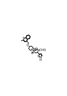 Cc1cc(COC2CCN(S(=O)(=O)CC(c3cc[nH]n3)N(O)C=O)CC2)c2ccccc2n1